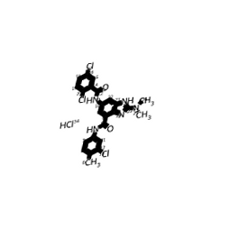 Cc1ccc(NC(=O)c2cc(NC(=O)c3cc(Cl)ccc3Cl)cc3[nH]c(N(C)C)nc23)cc1Cl.Cl